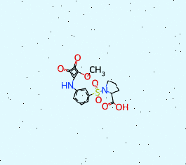 COc1c(Nc2cccc(S(=O)(=O)N3CCCC3C(=O)O)c2)c(=O)c1=O